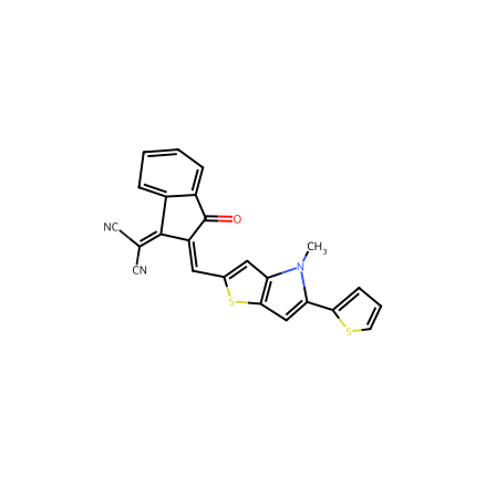 Cn1c(-c2cccs2)cc2sc(/C=C3\C(=O)c4ccccc4C3=C(C#N)C#N)cc21